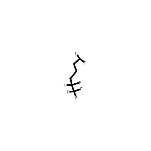 FC(F)CC[CH]C(F)(F)C(F)(F)F